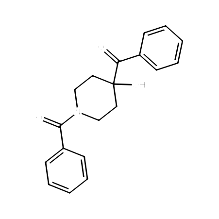 O=C(c1ccccc1)N1CCC(O)(C(=O)c2ccccc2)CC1